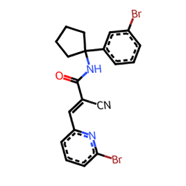 N#C/C(=C\c1cccc(Br)n1)C(=O)NC1(c2cccc(Br)c2)CCCC1